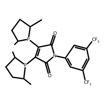 CC1CCC(C)P1C1=C(P2C(C)CCC2C)C(=O)N(c2cc(C(F)(F)F)cc(C(F)(F)F)c2)C1=O